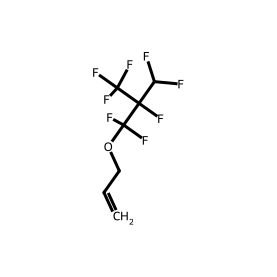 C=CCOC(F)(F)C(F)(C(F)F)C(F)(F)F